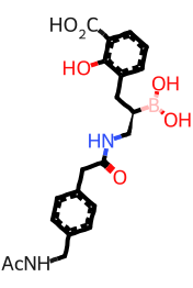 CC(=O)NCc1ccc(CC(=O)NC[C@@H](Cc2cccc(C(=O)O)c2O)B(O)O)cc1